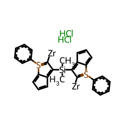 C[Si](C)(C1=C2C=CC=C2S(c2ccccc2)=[C]1[Zr])C1=C2C=CC=C2S(c2ccccc2)=[C]1[Zr].Cl.Cl